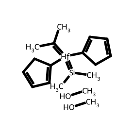 CO.CO.C[C](C)=[Hf]([C]1=CC=CC1)([C]1=CC=CC1)=[Si](C)C